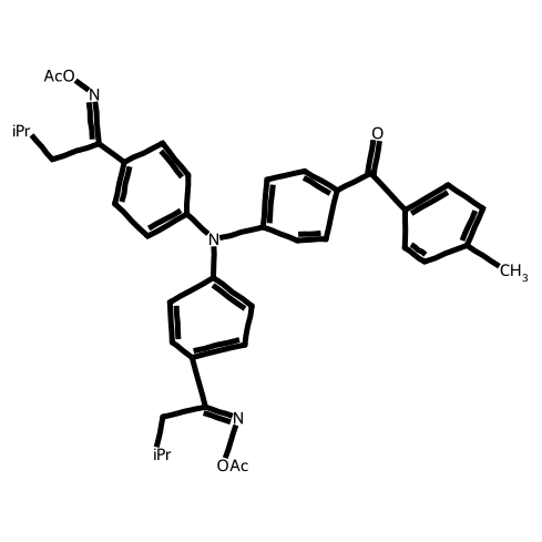 CC(=O)O/N=C(\CC(C)C)c1ccc(N(c2ccc(C(=O)c3ccc(C)cc3)cc2)c2ccc(/C(CC(C)C)=N/OC(C)=O)cc2)cc1